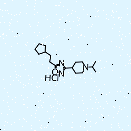 CC(C)N1CCC(c2noc(CCC3CCCC3)n2)CC1.Cl